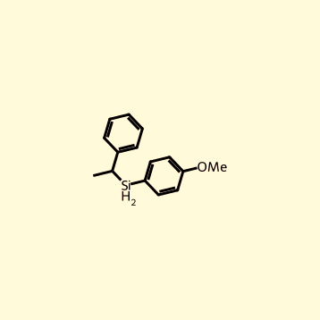 COc1ccc([SiH2]C(C)c2ccccc2)cc1